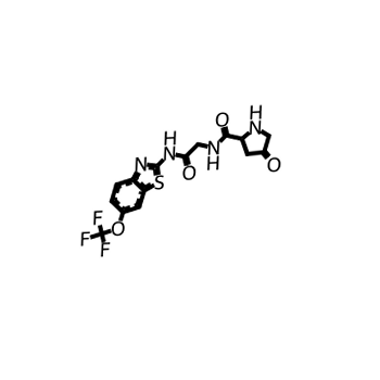 O=C1CNC(C(=O)NCC(=O)Nc2nc3ccc(OC(F)(F)F)cc3s2)C1